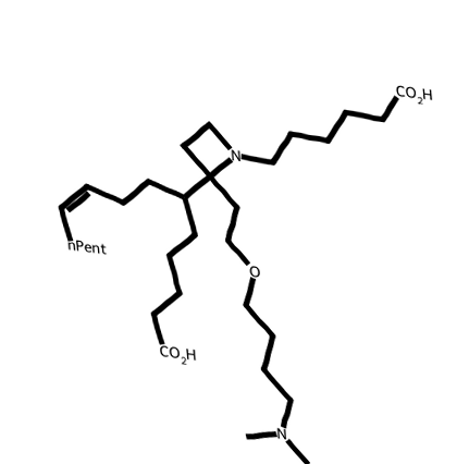 CCCCC/C=C\CCC(CCCCC(=O)O)C1(CCOCCCCN(C)C)CCN1CCCCCC(=O)O